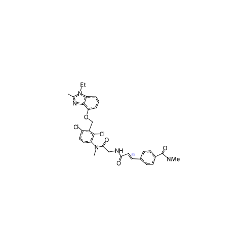 CCn1c(C)nc2c(OCc3c(Cl)ccc(N(C)C(=O)CNC(=O)/C=C/c4ccc(C(=O)NC)cc4)c3Cl)cccc21